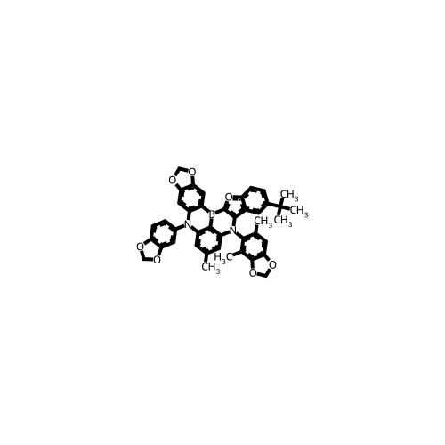 Cc1cc2c3c(c1)N(c1c(C)cc4c(c1C)OCO4)c1c(oc4ccc(C(C)(C)C)cc14)B3c1cc3c(cc1N2c1ccc2c(c1)OCO2)OCO3